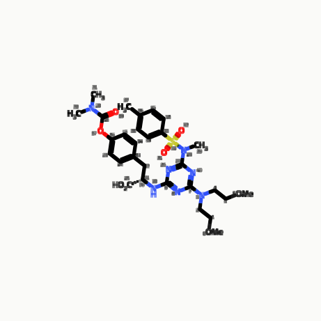 COCCN(CCOC)c1nc(N[C@@H](Cc2ccc(OC(=O)N(C)C)cc2)C(=O)O)nc(N(C)S(=O)(=O)c2ccc(C)cc2)n1